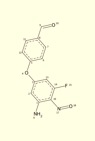 Nc1cc(Oc2ccc(C=O)cc2)cc(F)c1N=O